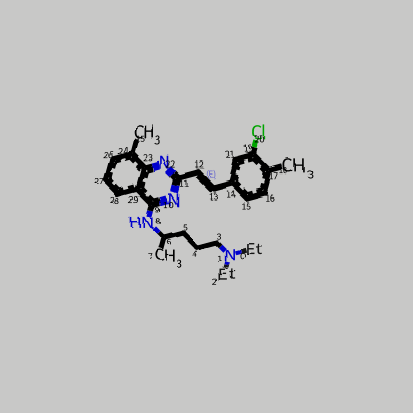 CCN(CC)CCCC(C)Nc1nc(/C=C/c2ccc(C)c(Cl)c2)nc2c(C)cccc12